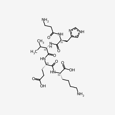 CC(C)[C@H](NC(=O)[C@H](Cc1c[nH]cn1)NC(=O)CCN)C(=O)N[C@@H](CCC(=O)O)C(=O)N[C@@H](CCCCN)C(=O)O